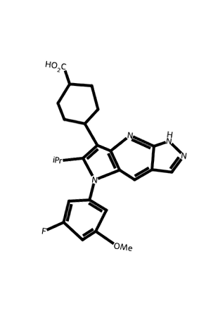 COc1cc(F)cc(-n2c(C(C)C)c(C3CCC(C(=O)O)CC3)c3nc4[nH]ncc4cc32)c1